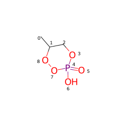 CC1COP(=O)(O)OO1